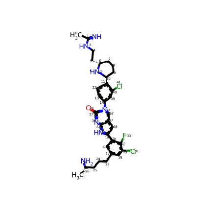 CC(=N)NCC[C@@H]1CCC[C@@H](c2ccc(-n3cc4cc(-c5cc(CCC[C@H](C)N)cc(Cl)c5F)[nH]c4nc3=O)cc2Cl)N1